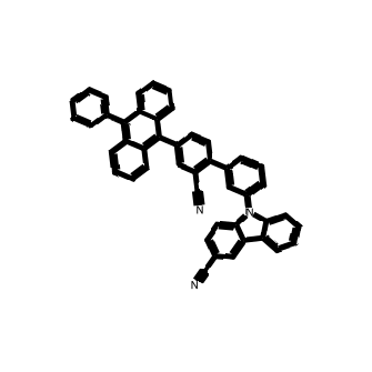 N#Cc1ccc2c(c1)c1ccccc1n2-c1cccc(-c2ccc(-c3c4ccccc4c(-c4ccccc4)c4ccccc34)cc2C#N)c1